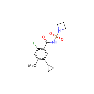 COc1cc(F)c(C(=O)NS(=O)(=O)N2CCC2)cc1C1CC1